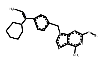 CCOc1nc(N)c2ncn(Cc3ccc(/C(=C/N)C4CCCCC4)cc3)c2n1